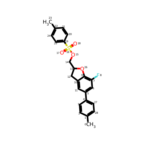 Cc1ccc(-c2cc(F)c3c(c2)CC(COS(=O)(=O)c2ccc(C)cc2)O3)cc1